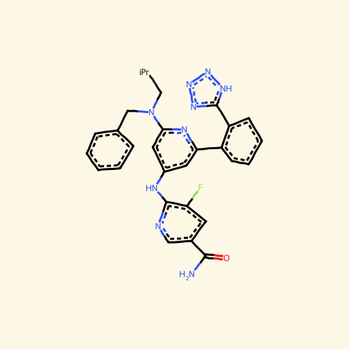 CC(C)CN(Cc1ccccc1)c1cc(Nc2ncc(C(N)=O)cc2F)cc(-c2ccccc2-c2nnn[nH]2)n1